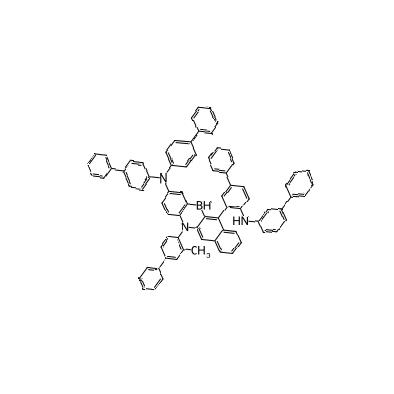 Cc1cc(-c2ccccc2)ccc1N1c2ccc(N(c3ccc(-c4ccccc4)cc3)c3ccc(-c4ccccc4)cc3)cc2Bc2c1cc1ccccc1c2-c1cc(-c2ccccc2)ccc1Nc1cccc(-c2ccccc2)c1